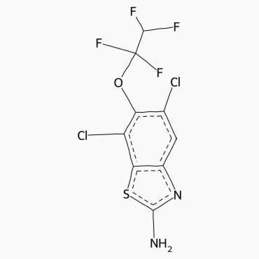 Nc1nc2cc(Cl)c(OC(F)(F)C(F)F)c(Cl)c2s1